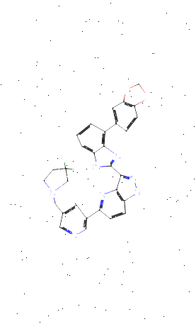 FC1(F)CCN(Cc2cncc(-c3ccc4[nH]nc(-c5nc6c(-c7ccc8c(c7)OCO8)cccc6[nH]5)c4n3)c2)C1